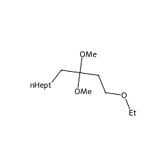 CCCCCCCCC(CCOCC)(OC)OC